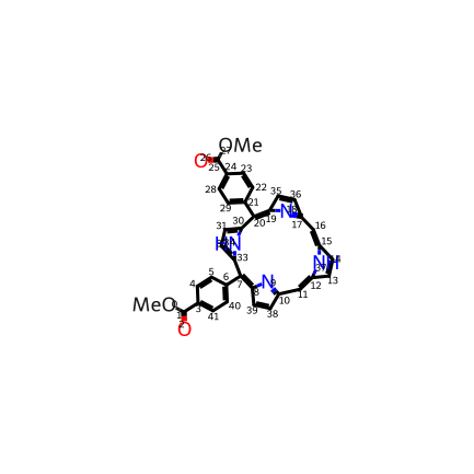 COC(=O)c1ccc(-c2c3nc(cc4ccc(cc5nc(c(-c6ccc(C(=O)OC)cc6)c6ccc2[nH]6)C=C5)[nH]4)C=C3)cc1